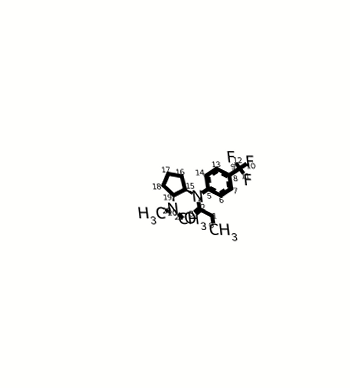 CCC(=O)N(c1ccc(C(F)(F)F)cc1)[C@@H]1CCC[C@H]1N(C)C